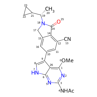 COc1nc(NC(C)=O)nc2[nH]cc(-c3cc(C#N)c4c(c3)CN([C@@H](C)C3CC3)C4=O)c12